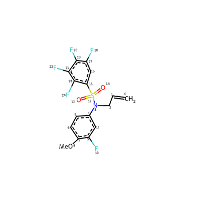 C=CCN(c1ccc(OC)c(F)c1)S(=O)(=O)c1cc(F)c(F)c(F)c1F